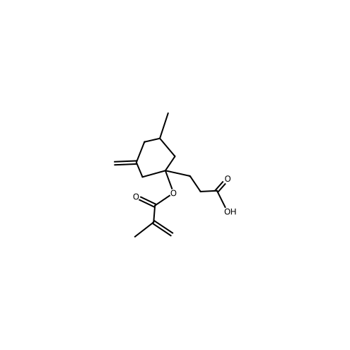 C=C1CC(C)CC(CCC(=O)O)(OC(=O)C(=C)C)C1